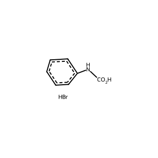 Br.O=C(O)Nc1ccccc1